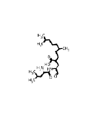 CC(C)CCCC(C)CCC(C[C@@H]([C]=O)NC(=O)[C@@H](N)CC(C)C)C(=O)O